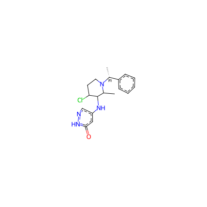 CC1C(Nc2cn[nH]c(=O)c2)C(Cl)CCN1[C@H](C)c1ccccc1